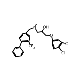 CN(Cc1ccc(-c2ccccc2)c(C(F)(F)F)c1)CC(O)COc1ccc(Cl)c(Cl)c1